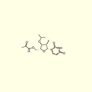 CC(=O)NOC[C@H]1O[C@@H](n2ccc(=O)[nH]c2=O)[C@H](F)[C@@H]1OC(C)C